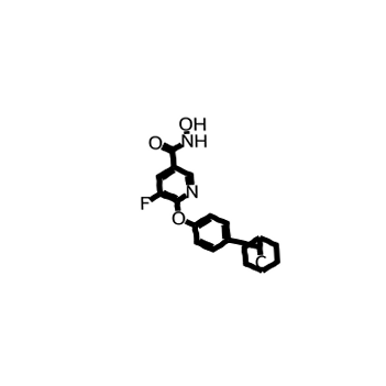 O=C(NO)c1cnc(Oc2ccc(C3CC4CCC3CC4)cc2)c(F)c1